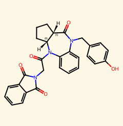 O=C1c2ccccc2C(=O)N1CC(=O)N1c2ccccc2N(Cc2ccc(O)cc2)C(=O)[C@H]2CCC[C@H]21